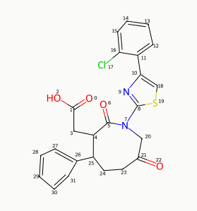 O=C(O)CC1C(=O)N(c2nc(-c3ccccc3Cl)cs2)CC(=O)CCC1c1ccccc1